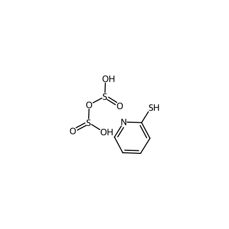 O=S(O)OS(=O)O.Sc1ccccn1